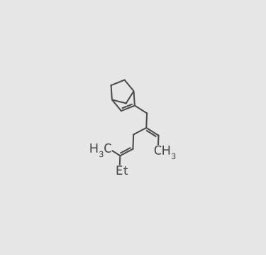 CC=C(CC=C(C)CC)CC1=CC2CCC1C2